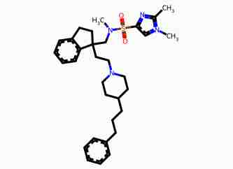 Cc1nc(S(=O)(=O)N(C)CC2(CCN3CCC(CCCc4ccccc4)CC3)CCc3ccccc32)cn1C